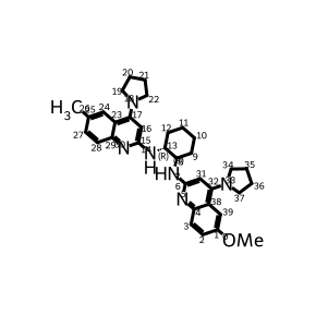 COc1ccc2nc(N[C@@H]3CCCC[C@H]3Nc3cc(N4CCCC4)c4cc(C)ccc4n3)cc(N3CCCC3)c2c1